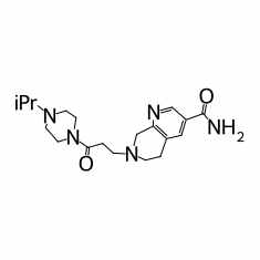 CC(C)N1CCN(C(=O)CCN2CCc3cc(C(N)=O)cnc3C2)CC1